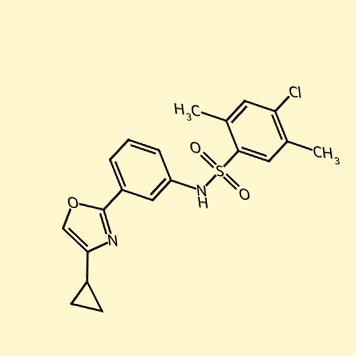 Cc1cc(S(=O)(=O)Nc2cccc(-c3nc(C4CC4)co3)c2)c(C)cc1Cl